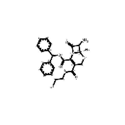 NC1C(=O)N2C(C(=O)OC(c3ccccc3)c3ccccc3)=C(C(=O)OCCI)CS[C@H]12